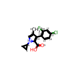 Cc1cn(C2CC2)c(C(=O)O)c1-c1ccc(Cl)cc1F